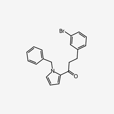 O=C(CCc1cccc(Br)c1)c1cccn1Cc1ccccc1